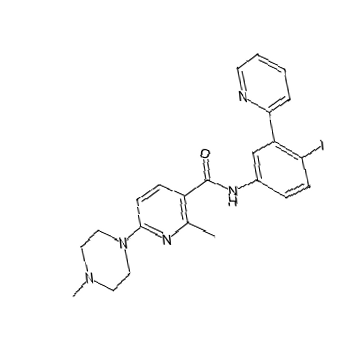 Cc1nc(N2CCN(C)CC2)ccc1C(=O)Nc1ccc(I)c(-c2ccccn2)c1